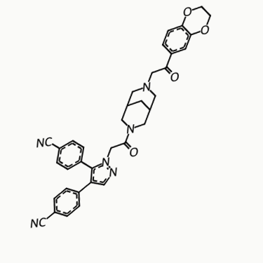 N#Cc1ccc(-c2cnn(CC(=O)N3CC4CC(CN(CC(=O)c5ccc6c(c5)OCCO6)C4)C3)c2-c2ccc(C#N)cc2)cc1